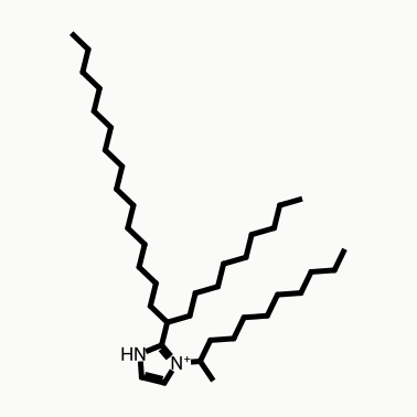 CCCCCCCCCCCCCCCC(CCCCCCCCC)c1[nH]cc[n+]1C(C)CCCCCCCCC